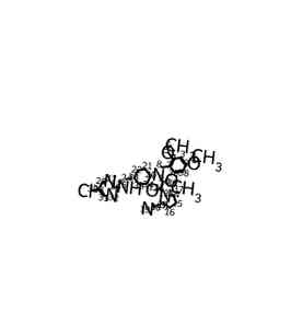 COc1cc(OC)c(CN(CC(=O)N2CCC[C@H]2C#N)[C@H]2CC[C@H](CNc3ncc(Cl)cn3)CC2)c(OC)c1